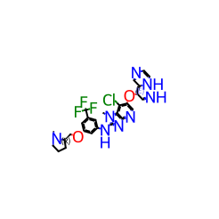 CN1CCC[C@@H]1COc1cc(Nc2nc3ncc(O/C(C=N)=C4\C=NC=CN4)c(Cl)c3n2C)cc(C(F)(F)F)c1